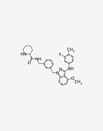 COc1cccc2c1c(Nc1ccc(C)c(F)c1)nn2Cc1cccc(CNC(=O)[C@@H]2CCCCN2)c1